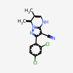 C=C1C(C)=CNc2c(C#N)c(-c3ccc(Cl)cc3Cl)nn21